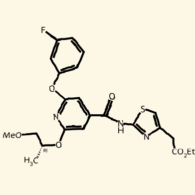 CCOC(=O)Cc1csc(NC(=O)c2cc(Oc3cccc(F)c3)nc(O[C@H](C)COC)c2)n1